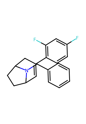 Fc1ccc(C2=CC3CCC(C2)N3Cc2ccccc2)c(F)c1